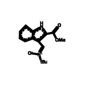 COC(=O)c1[nH]c2ccccc2c1C=[N+]([O-])C(C)(C)C